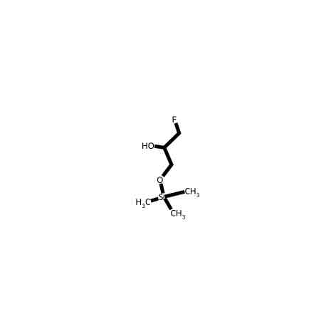 C[Si](C)(C)OCC(O)CF